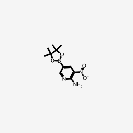 CC1(C)OB(c2cnc(N)c([N+](=O)[O-])c2)OC1(C)C